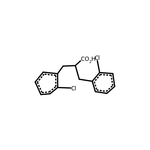 O=C(O)C(Cc1ccccc1Cl)Cc1ccccc1Cl